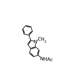 CC(=O)Nc1ccc2cc(-c3ccccc3)n(C)c2c1